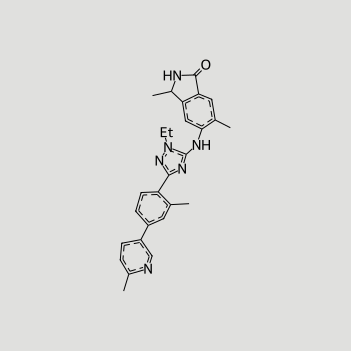 CCn1nc(-c2ccc(-c3ccc(C)nc3)cc2C)nc1Nc1cc2c(cc1C)C(=O)NC2C